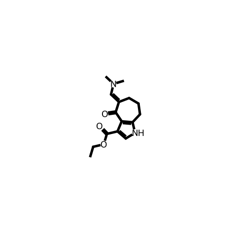 CCOC(=O)c1c[nH]c2c1C(=O)C(=CN(C)C)CCC2